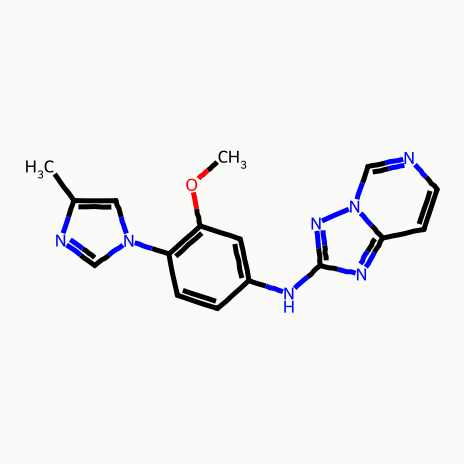 COc1cc(Nc2nc3ccncn3n2)ccc1-n1cnc(C)c1